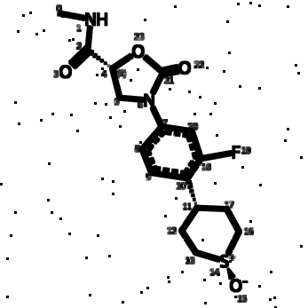 CNC(=O)[C@H]1CN(c2ccc([C@H]3CC[S@+]([O-])CC3)c(F)c2)C(=O)O1